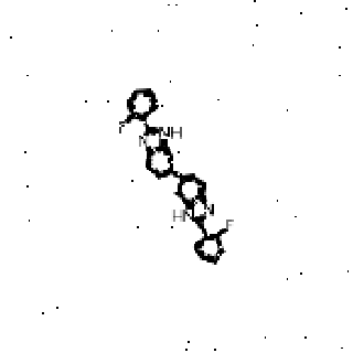 Fc1ccccc1-c1nc2ccc(-c3ccc4nc(-c5ccccc5F)[nH]c4c3)cc2[nH]1